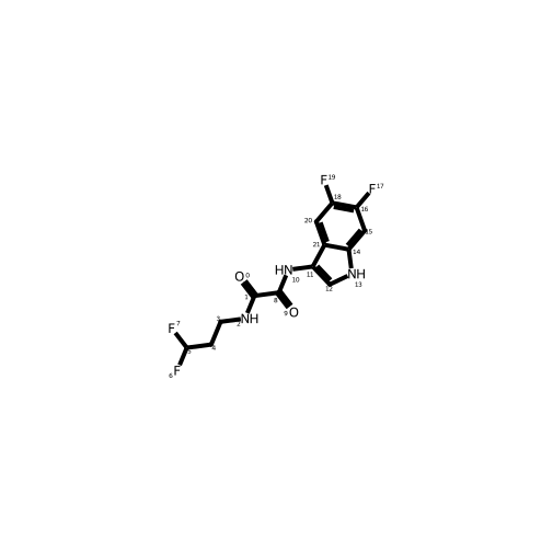 O=C(NCCC(F)F)C(=O)Nc1c[nH]c2cc(F)c(F)cc12